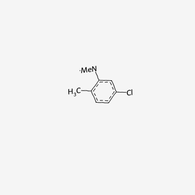 C[N]c1cc(Cl)ccc1C